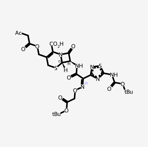 CC(=O)CC(=O)OCC1=C(C(=O)O)N2C(=O)[C@@H](NC(=O)/C(=N\OCC(=O)OC(C)(C)C)c3nsc(NC(=O)OC(C)(C)C)n3)[C@@H]2SC1